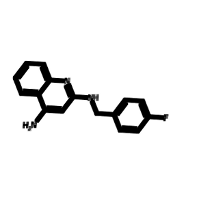 Nc1cc(NCc2ccc(F)cc2)nc2ccccc12